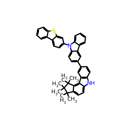 CC1(C)c2ccc3[nH]c4ccc(-c5ccc6c(c5)c5ccccc5n6-c5ccc6c(c5)sc5ccccc56)cc4c3c2C(C)(C)C1(C)C